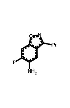 CC(C)c1noc2cc(F)c(N)cc12